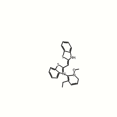 CCC1=C([n+]2c(C=C3Nc4ccccc4S3)sc3ccccc32)N(OC)CC=C1